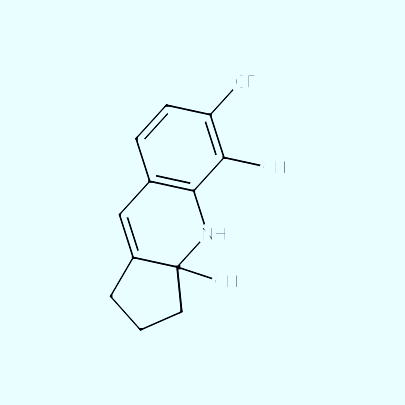 Cc1c(C(F)(F)F)ccc2c1NC1(C)CCCC1=C2